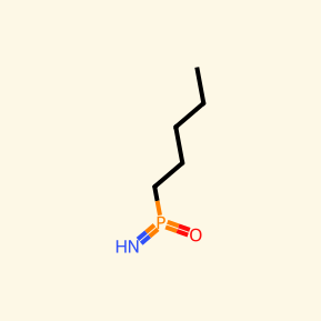 CCCCCP(=N)=O